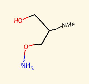 CNC(CO)CON